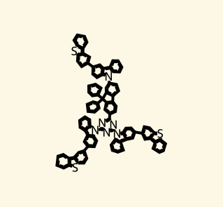 c1ccc(C2(c3ccccc3)c3cc(-c4nc(-n5c6ccccc6c6cc(-c7ccc8sc9ccccc9c8c7)ccc65)nc(-n5c6ccccc6c6cc(-c7ccc8sc9ccccc9c8c7)ccc65)n4)ccc3-c3ccc(-n4c5ccccc5c5cc(-c6ccc7sc8ccccc8c7c6)ccc54)cc32)cc1